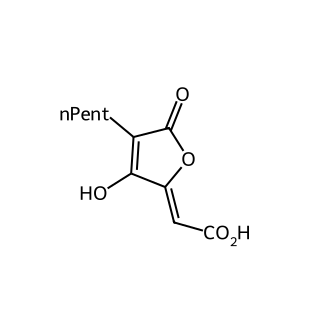 CCCCCC1=C(O)/C(=C/C(=O)O)OC1=O